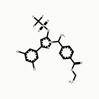 CCOC(=O)c1ccc(C(C)n2nc(-c3cc(Cl)cc(Cl)c3)cc2OS(=O)(=O)C(F)(F)F)cc1